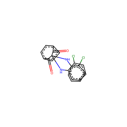 O=C1c2ccc(cc2)C(=O)C1(Nc1ccccc1Cl)Nc1ccccc1Cl